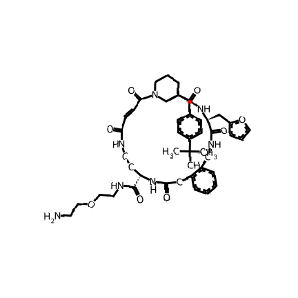 CC(C)(C)c1ccc(C[C@@]23CCCN(C2)C(=O)/C=C/C(=O)NCC[C@@H](C(=O)NCCOCCN)NC(=O)Cc2ccccc2CNC(=O)[C@H](Cc2ccco2)NC3=O)cc1